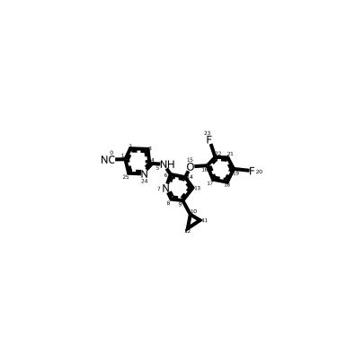 N#Cc1ccc(Nc2ncc(C3CC3)cc2Oc2ccc(F)cc2F)nc1